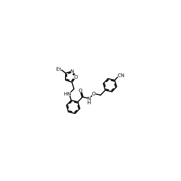 CCc1cc(CNc2ccccc2C(=O)NOCc2ccc(C#N)cc2)on1